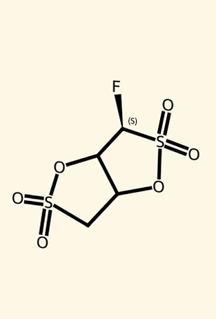 O=S1(=O)CC2OS(=O)(=O)[C@H](F)C2O1